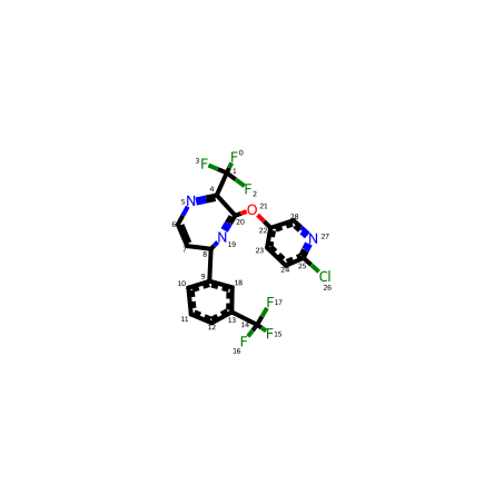 FC(F)(F)C1=NC=CC(c2cccc(C(F)(F)F)c2)N=C1Oc1ccc(Cl)nc1